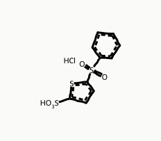 Cl.O=S(=O)(O)c1ccc(S(=O)(=O)c2ccccc2)s1